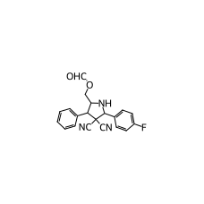 N#CC1(C#N)C(c2ccc(F)cc2)NC(COC=O)C1c1ccccc1